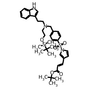 CC(C)(C)OC(=O)C=Cc1ccn(S(=O)(=O)c2ccc(CN(CCO[Si](C)(C)C(C)(C)C)CCc3c[nH]c4ccccc34)cc2)c1